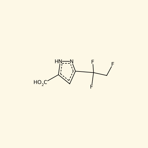 O=C(O)c1cc(C(F)(F)CF)n[nH]1